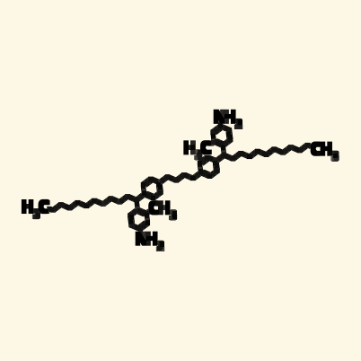 CCCCCCCCCCCC(c1ccc(CCCCc2ccc(C(CCCCCCCCCCC)c3ccc(N)cc3C)cc2)cc1)c1ccc(N)cc1C